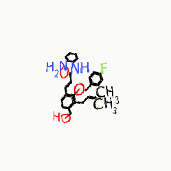 CC(C)=CCc1c(CO)ccc(/C=C/C(=O)Nc2ccccc2N)c1OCc1ccc(F)cc1